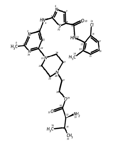 Cc1nc(Nc2ncc(C(=O)Nc3c(C)cccc3Cl)s2)cc(N2CCN(CCOC(=O)[C@@H](N)C(C)C)CC2)n1